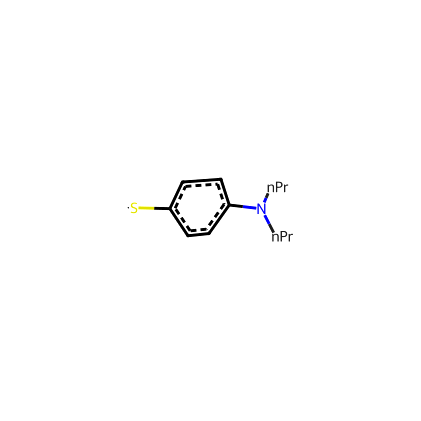 CCCN(CCC)c1ccc([S])cc1